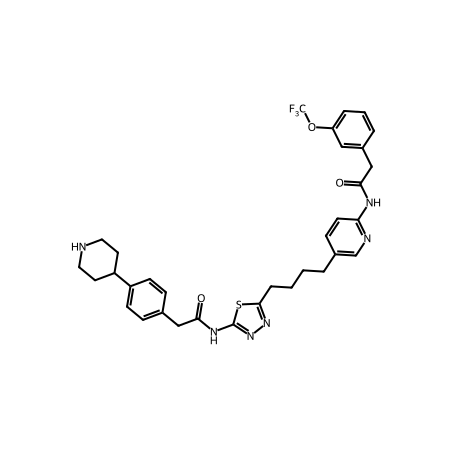 O=C(Cc1cccc(OC(F)(F)F)c1)Nc1ccc(CCCCc2nnc(NC(=O)Cc3ccc(C4CCNCC4)cc3)s2)cn1